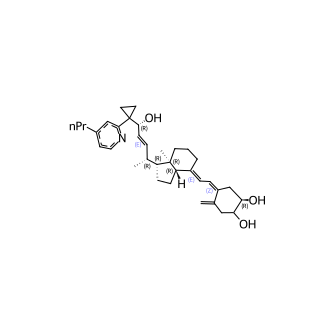 C=C1CC(O)[C@H](O)C/C1=C/C=C1\CCC[C@]2(C)[C@@H]([C@H](C)/C=C/[C@@H](O)C3(c4cc(CCC)ccn4)CC3)CC[C@@H]12